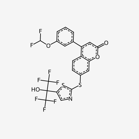 O=c1cc(-c2cccc(OC(F)F)c2)c2ccc(Sc3ncc(C(O)(C(F)(F)F)C(F)(F)F)s3)cc2o1